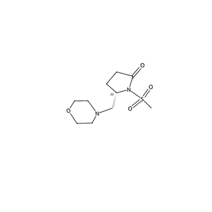 CS(=O)(=O)N1C(=O)CC[C@H]1CN1CCOCC1